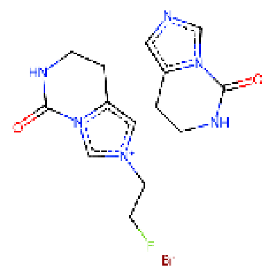 O=C1NCCc2c[n+](CCF)cn21.O=C1NCCc2cncn21.[Br-]